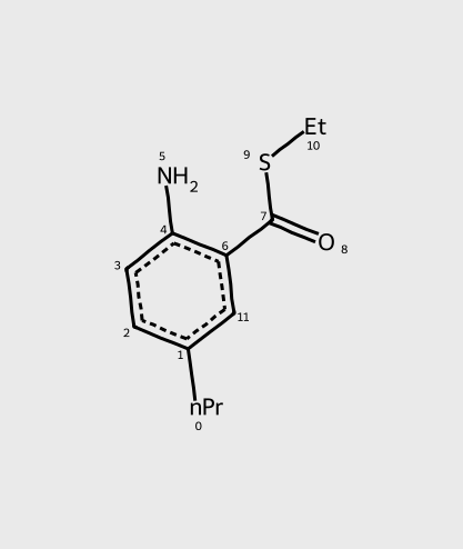 CCCc1ccc(N)c(C(=O)SCC)c1